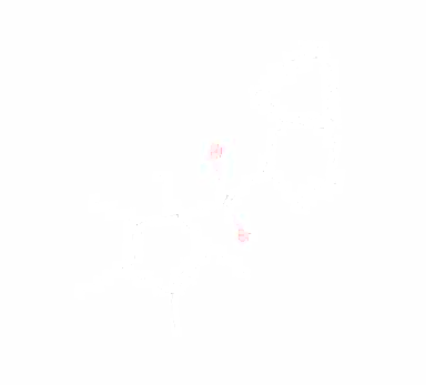 CC1=C(C)[C](C)([Zr]([Br])([Br])[CH]2C=Cc3ccccc32)C(C)=C1C